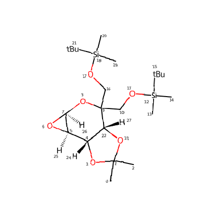 CC1(C)O[C@@H]2[C@H]3O[C@H]3OC(CO[Si](C)(C)C(C)(C)C)(CO[Si](C)(C)C(C)(C)C)[C@@H]2O1